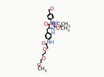 COCCOCCOCC(=O)Nc1ccc(CC(NC(=O)OC(C)(C)C)C(=O)Nc2ccc(C=O)cc2)cc1